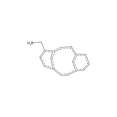 BCc1ccc2ccc3cccc(ccc1c2)c3